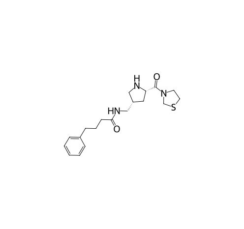 O=C(CCCc1ccccc1)NC[C@@H]1CN[C@H](C(=O)N2CCSC2)C1